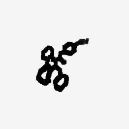 O=C(Cc1ccc(S)cc1)NC(Cc1ccccc1)c1ccccc1N1CCCCC1